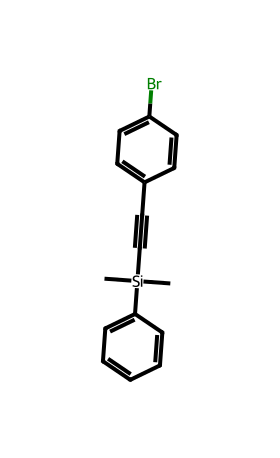 C[Si](C)(C#Cc1ccc(Br)cc1)c1ccccc1